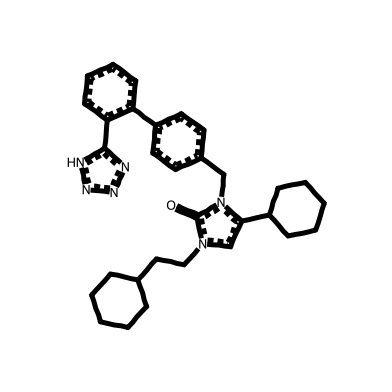 O=c1n(CCC2CCCCC2)cc(C2CCCCC2)n1Cc1ccc(-c2ccccc2-c2nnn[nH]2)cc1